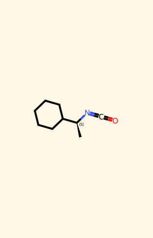 C[C@H](N=C=O)C1CCCCC1